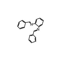 C(=N\c1ccccc1/N=C/c1ccccc1)/c1ccccc1